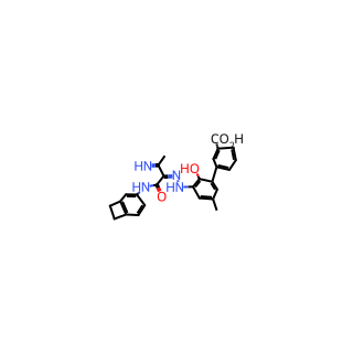 CC(=N)/C(=N/Nc1cc(C)cc(-c2cccc(C(=O)O)c2)c1O)C(=O)Nc1ccc2c(c1)CC2